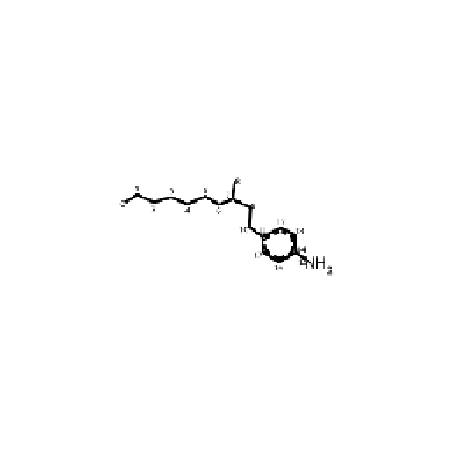 CCCCCCCC(C)CCc1ccc(N)cc1